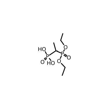 CCOP(=O)(OCC)[C](C)P(=O)(O)O